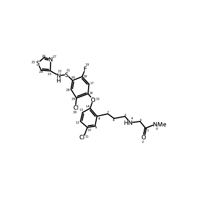 CNC(=O)CNCCCc1cc(Cl)ccc1Oc1cc(F)c(SNc2cscn2)cc1Cl